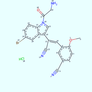 COc1ccc(C#N)cc1/C=C(\C#N)c1cn(C(=O)CN)c2ccc(Br)cc12.Cl